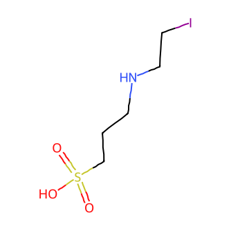 O=S(=O)(O)CCCNCCI